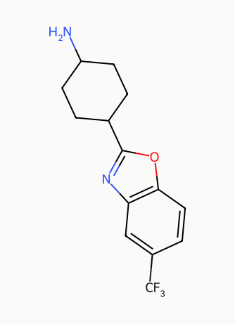 NC1CCC(c2nc3cc(C(F)(F)F)ccc3o2)CC1